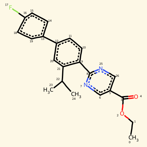 CCOC(=O)c1cnc(-c2ccc(-c3ccc(F)cc3)cc2C(C)C)nc1